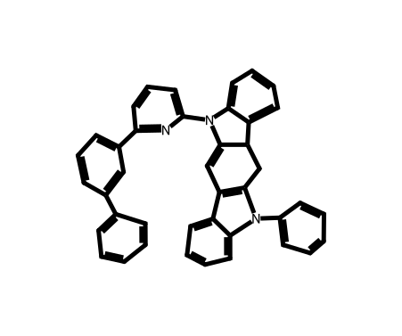 C1=C2C(Cc3c1c1ccccc1n3-c1ccccc1)c1ccccc1N2c1cccc(-c2cccc(-c3ccccc3)c2)n1